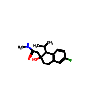 CNC(=O)CC1(O)CCc2cc(F)ccc2C1C(C)C